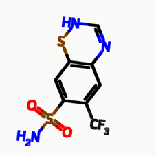 NS(=O)(=O)c1cc2c(cc1C(F)(F)F)N=CNS2